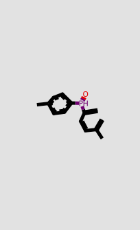 C=C(C)/C=C\C(=C)[PH](=O)c1ccc(C)cc1